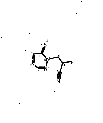 CC(C#N)Cn1ncccc1=S